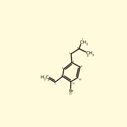 C=Cc1cc(CC(C)C)ccc1Br